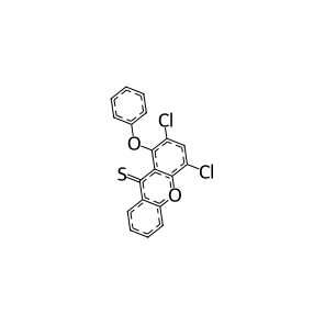 S=c1c2ccccc2oc2c(Cl)cc(Cl)c(Oc3ccccc3)c12